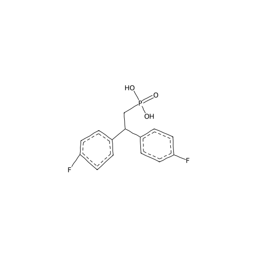 O=P(O)(O)CC(c1ccc(F)cc1)c1ccc(F)cc1